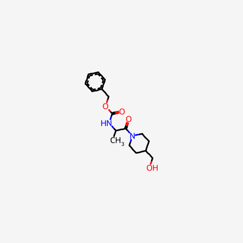 CC(NC(=O)OCc1ccccc1)C(=O)N1CCC(CO)CC1